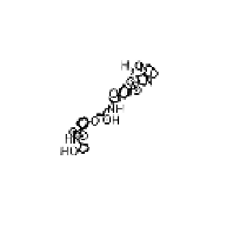 CN1CCOc2ncc(S(=O)(=O)N3CCC4(CC3)C[C@@H](NC[C@H](O)COc3cccc(S(=O)(=O)N[C@@H]5CCC[C@@H]5O)c3)CO4)cc21